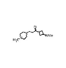 CNC1CN(C(=O)CCN2CCN(C)CC2)C1